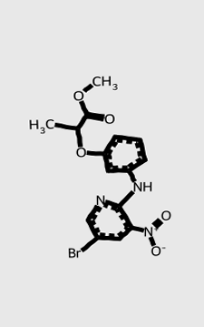 COC(=O)C(C)Oc1cccc(Nc2ncc(Br)cc2[N+](=O)[O-])c1